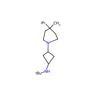 CC(C)C1(C)CCN(C2CC(NC(C)(C)C)C2)CC1